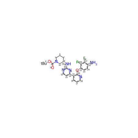 CC(C)(C)OC(=O)N1CCC[C@H](Nc2nccc(-c3cccnc3Oc3ccc(N)c(F)c3F)n2)C1